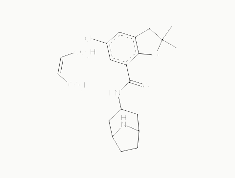 CC1(C)Cc2cc(Cl)cc(C(=O)NC3CC4CCC(C3)N4)c2O1.O=C(O)/C=C\C(=O)O